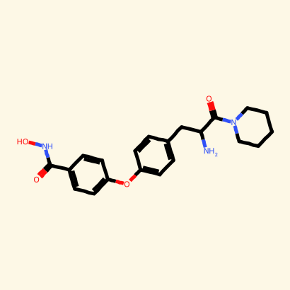 NC(Cc1ccc(Oc2ccc(C(=O)NO)cc2)cc1)C(=O)N1CCCCC1